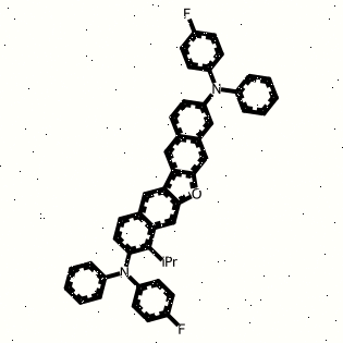 CC(C)c1c(N(c2ccccc2)c2ccc(F)cc2)ccc2cc3c(cc12)oc1cc2cc(N(c4ccccc4)c4ccc(F)cc4)ccc2cc13